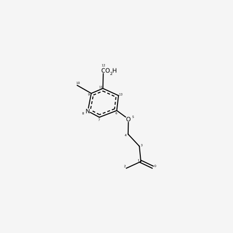 C=C(C)CCOc1cnc(C)c(C(=O)O)c1